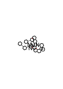 c1ccc(-c2cccc(-c3nc(-c4ccc5ccc6oc7cccc(-n8c9ccccc9c9cc%10ccccc%10cc98)c7c6c5c4)nc(-c4ccccc4-c4ccccc4)n3)c2)cc1